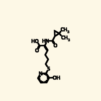 CC1(C)CC1C(=O)N/C(=C/CCCSc1ncccc1O)C(=O)O